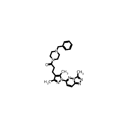 Cc1nn(-c2ccc3nnc(C)n3n2)c(C)c1CCC(=O)N1CCN(Cc2ccccc2)CC1